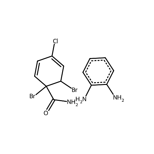 NC(=O)C1(Br)C=CC(Cl)=CC1Br.Nc1ccccc1N